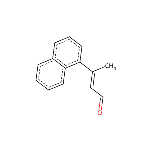 CC(=CC=O)c1cccc2ccccc12